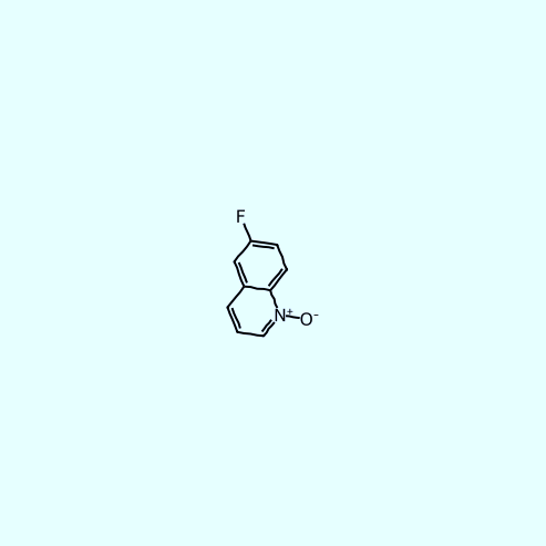 [O-][n+]1cccc2cc(F)ccc21